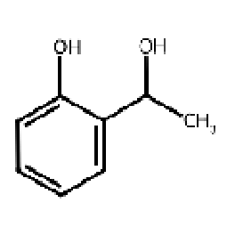 CC(O)c1ccccc1O